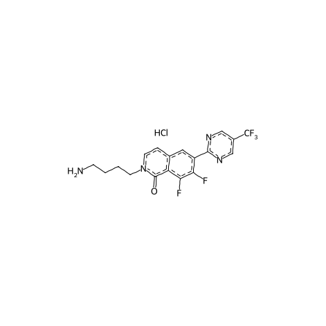 Cl.NCCCCn1ccc2cc(-c3ncc(C(F)(F)F)cn3)c(F)c(F)c2c1=O